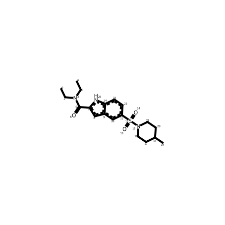 CCN(CC)C(=O)c1cc2cc(S(=O)(=O)N3CCC(C)CC3)ccc2[nH]1